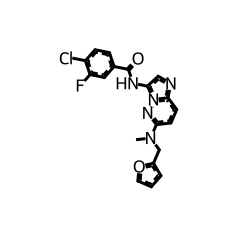 CN(Cc1ccco1)c1ccc2ncc(NC(=O)c3ccc(Cl)c(F)c3)n2n1